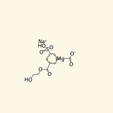 O=[C]([O-])[Mg][c]1cc(C(=O)OCCO)cc(S(=O)(=O)O)c1.[Na+]